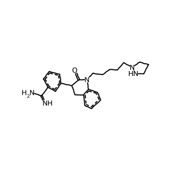 N=C(N)c1cccc(C2Cc3ccccc3N(CCCCCN3CCCN3)C2=O)c1